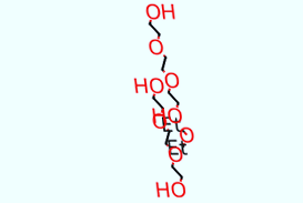 CCOCC.OCCOCCOCCO.OCCOCCOCCO